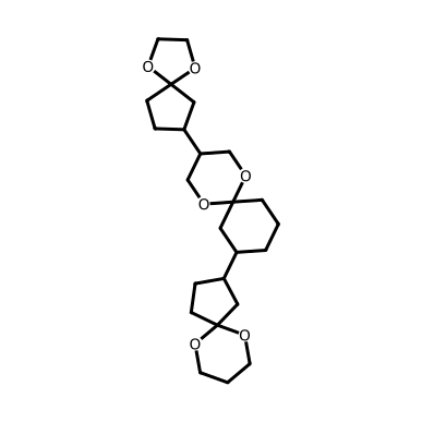 C1COC2(CCC(C3CCCC4(C3)OCC(C3CCC5(C3)OCCO5)CO4)C2)OC1